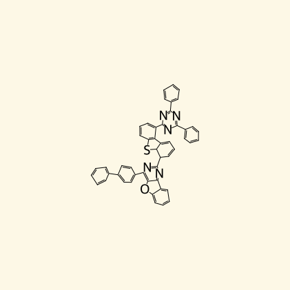 C1=CC(c2nc(-c3ccc(-c4ccccc4)cc3)c3oc4ccccc4c3n2)C2Sc3cccc(-c4nc(-c5ccccc5)nc(-c5ccccc5)n4)c3C2=C1